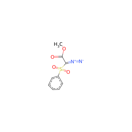 COC(=O)C(=[N+]=[N-])S(=O)(=O)c1ccccc1